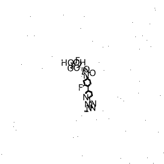 C=Cn1nnc(-c2ccc(-c3ccc(N4C[C@H](C(CF)OP(=O)(O)O)OC4=O)cc3F)cn2)n1